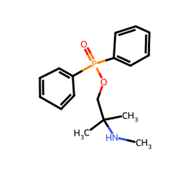 CNC(C)(C)COP(=O)(c1ccccc1)c1ccccc1